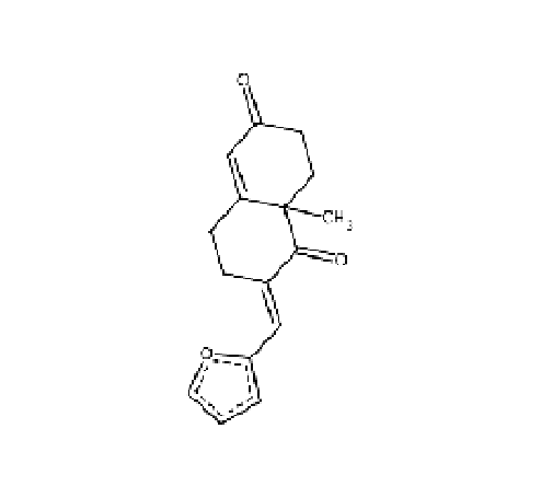 CC12CCC(=O)C=C1CCC(=Cc1ccco1)C2=O